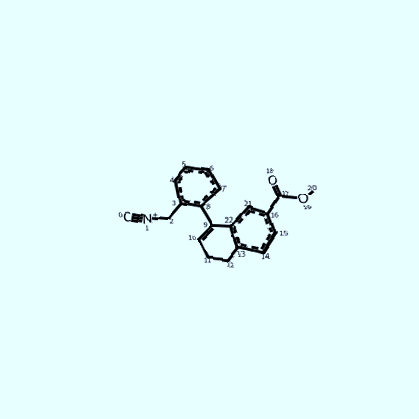 [C-]#[N+]Cc1ccccc1C1=CCCc2ccc(C(=O)OC)cc21